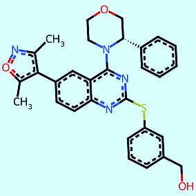 Cc1noc(C)c1-c1ccc2nc(Sc3cccc(CO)c3)nc(N3CCOC[C@@H]3c3ccccc3)c2c1